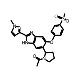 CC(=O)N1CCCC1c1cc2[nH]c(-c3ccn(C)n3)nc2cc1Oc1ccc(S(C)(=O)=O)cc1